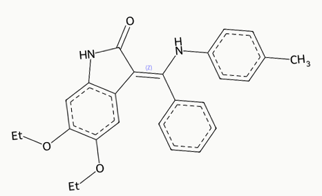 CCOc1cc2c(cc1OCC)/C(=C(/Nc1ccc(C)cc1)c1ccccc1)C(=O)N2